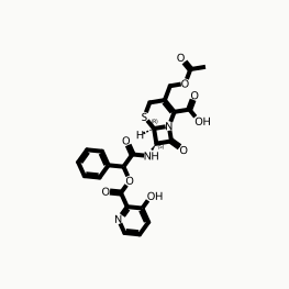 CC(=O)OCC1=C(C(=O)O)N2C(=O)[C@H](NC(=O)C(OC(=O)c3ncccc3O)c3ccccc3)[C@H]2SC1